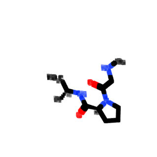 CC(C)[C@@H](NC(=O)[C@@H]1CCCN1C(=O)CNC(C)(C)C)C(=O)O